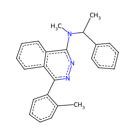 Cc1ccccc1-c1nnc(N(C)C(C)c2ccccc2)c2ccccc12